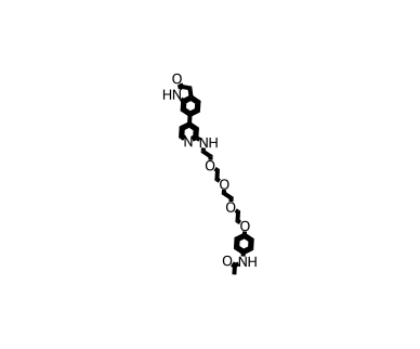 CC(=O)Nc1ccc(OCCOCCOCCOCCNc2cc(-c3ccc4c(c3)NC(=O)C4)ccn2)cc1